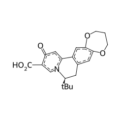 CC(C)(C)[C@@H]1Cc2cc3c(cc2-c2cc(=O)c(C(=O)O)cn21)OCCCO3